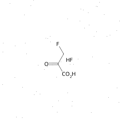 F.O=C(O)C(=O)CF